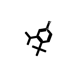 CC(C)c1c[n+]([O-])ccc1C(C)(C)C